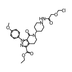 CCOC(=O)c1nn(-c2ccc(OC)cc2)c2c1CCN(C1CCN(NC(=O)COCCl)CC1)C2=O